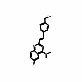 CN(C)c1nc(/C=C/c2ccc(CO)cn2)nc2ccc(Cl)cc12